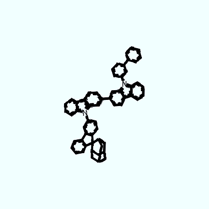 c1ccc(-c2cccc(-n3c4ccccc4c4ccc(-c5ccc6c7ccccc7n(-c7ccc8c(c7)-c7ccccc7C87C8CC9CC(C8)CC7C9)c6c5)cc43)c2)cc1